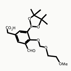 COCCOCOc1c(C=O)cc(CC(=O)O)cc1B1OC(C)(C)C(C)(C)O1